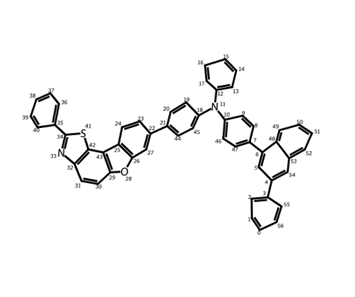 c1ccc(-c2cc(-c3ccc(N(c4ccccc4)c4ccc(-c5ccc6c(c5)oc5ccc7nc(-c8ccccc8)sc7c56)cc4)cc3)c3ccccc3c2)cc1